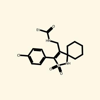 CCC(=O)NCC1=C(c2ccc(Cl)cc2)S(=O)(=O)NC12CCCCC2